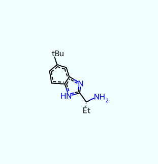 CC[C@@H](N)c1nc2cc(C(C)(C)C)ccc2[nH]1